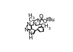 CC1CN(c2ncnc3[nH]cc(-c4ccccc4)c23)C(C)CN1C(=O)OC(C)(C)C